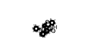 O=C1NC2(c3ccccc3Oc3ccc(Nc4ccccc4)c(Nc4ccccc4)c32)c2ccccc21